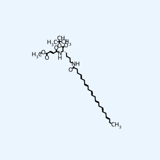 CCC=CCC=CCC=CCC=CCC=CCC=CCCC(=O)NCCCC[C@H](NC(=O)C=CC(=O)OC)C(=O)OC(C)(C)C